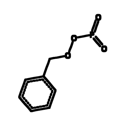 O=P(=O)OOCc1ccccc1